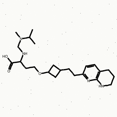 CC(C)N(C)CNC(CCOC1CC(CCc2ccc3c(n2)NCCC3)C1)C(=O)O